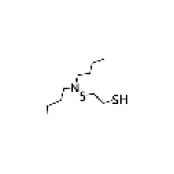 CCCCN(CCCC)SCCS